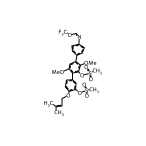 COc1cc(-c2ccc(/N=C\OC(F)(F)F)cc2)c(OC)c(OS(C)(=O)=O)c1-c1ccc(OCC=C(C)C)c(OS(C)(=O)=O)c1